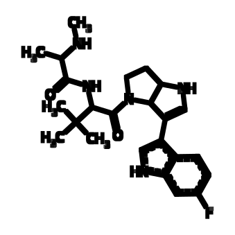 CNC(C)C(=O)NC(C(=O)N1CCC2NC=C(c3c[nH]c4cc(F)ccc34)C21)C(C)(C)C